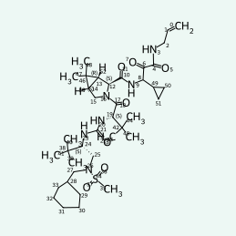 C=CCNC(=O)C(=O)C(NC(=O)[C@@H]1[C@@H]2[C@H](CN1C(=O)[C@@H](NC(=O)N[C@H](CN(CC1CCCCC1)S(C)(=O)=O)C(C)(C)C)C(C)(C)C)C2(C)C)C1CC1